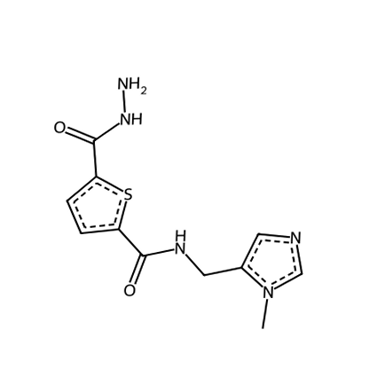 Cn1cncc1CNC(=O)c1ccc(C(=O)NN)s1